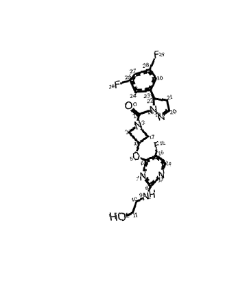 O=C(N1CC(Oc2nc(NCCO)ncc2F)C1)N1N=CCC1c1cc(F)cc(F)c1